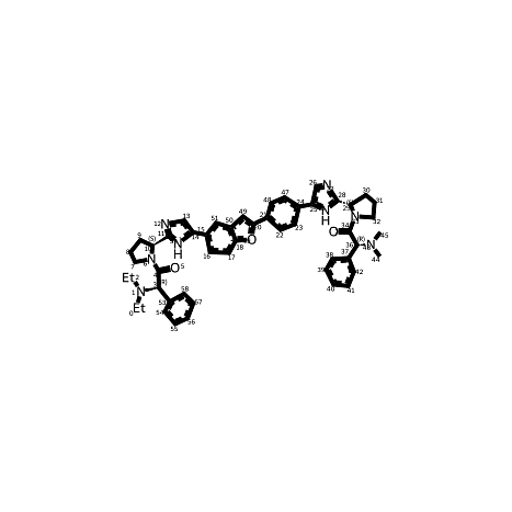 CCN(CC)[C@@H](C(=O)N1CCC[C@H]1c1ncc(-c2ccc3oc(-c4ccc(-c5cnc([C@@H]6CCCN6C(=O)[C@@H](c6ccccc6)N(C)C)[nH]5)cc4)cc3c2)[nH]1)c1ccccc1